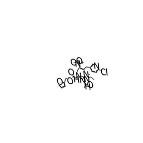 CCNC1(NC(C)=O)N(CC(=O)OCc2ccco2)CC([N+](=O)[O-])=C(Cc2ccc(Cl)nc2)N1C